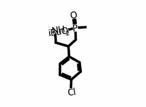 CC(C)COP(C)(=O)CC(CN)c1ccc(Cl)cc1